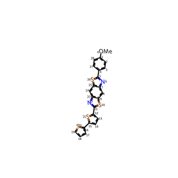 COc1ccc(-c2nc3cc4sc(-c5ccc(-c6cccs6)s5)nc4cc3s2)cc1